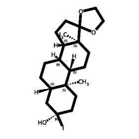 C[C@]12CC[C@@](O)(I)C[C@@H]1CC[C@@H]1[C@@H]2CC[C@@]2(C)[C@H]1CCC21OCCO1